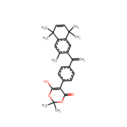 C=C(c1ccc(C2=C(O)OC(C)(C)OC2=O)cc1)c1cc2c(cc1C)C(C)(C)C=CC2(C)C